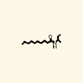 CCCCCCCCCC(=O)NC(C)CC